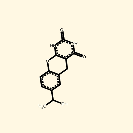 CC(O)c1ccc2c(c1)Cc1c([nH]c(=O)[nH]c1=O)O2